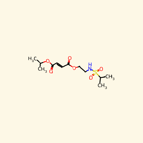 CC(C)OC(=O)/C=C/C(=O)OCCNS(=O)(=O)C(C)C